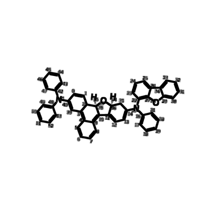 C1=CC2C(=c3ccccc3=C3C4=CC=C(N(c5ccccc5)c5cccc6c5oc5ccccc56)C[C@@H]4O[C@@H]32)C=C1N(c1ccccc1)c1ccccc1